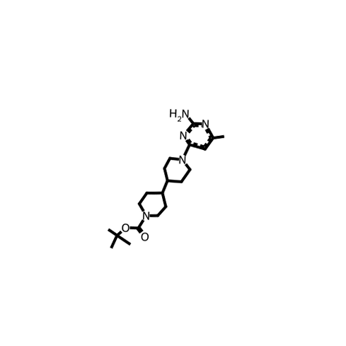 Cc1cc(N2CCC(C3CCN(C(=O)OC(C)(C)C)CC3)CC2)nc(N)n1